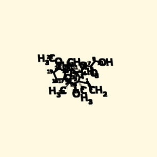 C=C[C@]1(C)C[C@@H](OC(=O)CO)[C@]2(C)[C@H](C)CC[C@]3(CC[C@@H](OC)[C@@H]32)[C@@H](C)C1=O